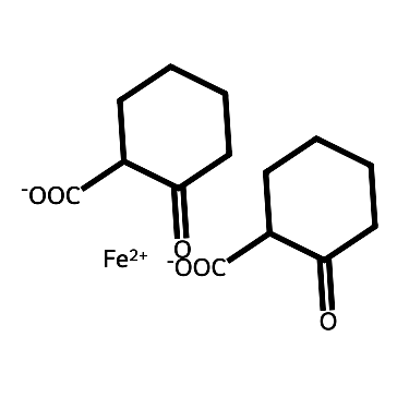 O=C([O-])C1CCCCC1=O.O=C([O-])C1CCCCC1=O.[Fe+2]